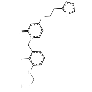 Cc1c(Cn2ccc(OCCc3cccs3)cc2=O)cccc1NCC(=O)O